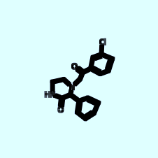 O=C(CN1CCNC(=O)C1c1ccccc1)c1cccc(Cl)c1